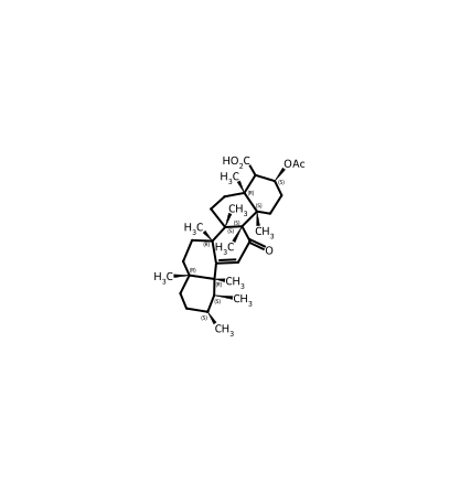 CC(=O)O[C@H]1CC[C@]2(C)[C@]3(C)C(=O)C=C4[C@](C)(CC[C@@]5(C)CC[C@H](C)[C@H](C)[C@@]45C)[C@]3(C)CC[C@]2(C)C1C(=O)O